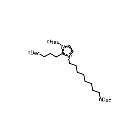 CCCCCCCCCCCCCCCCCC[n+]1ccn(CCCCCC)c1CCCCCCCCCCCCC